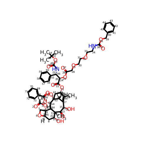 CC(=O)O[C@@]12CO[C@@H]1C[C@H](O)[C@@]1(C)C(=O)[C@H](O)C3=C(C)[C@@H](OC(=O)[C@H](OC(=O)COCCOCCNC(=O)OCc4ccccc4)[C@@H](NC(=O)OC(C)(C)C)c4ccccc4)C[C@](O)([C@@H](OC(=O)c4ccccc4)[C@H]21)C3(C)C